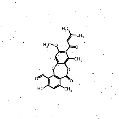 COc1cc2c(c(C)c1C(=O)C=C(C)C)OC(=O)c1c(C)cc(O)c(C=O)c1O2